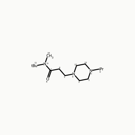 CC(C)N1CCN(CCC(=O)N(C)C(C)(C)C)CC1